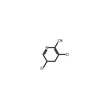 N#CC1=C(Cl)CC(Cl)C=N1